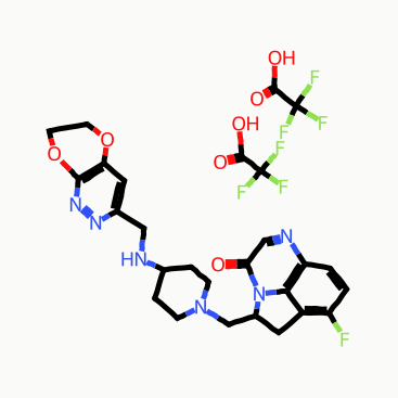 O=C(O)C(F)(F)F.O=C(O)C(F)(F)F.O=c1cnc2ccc(F)c3c2n1C(CN1CCC(NCc2cc4c(nn2)OCCO4)CC1)C3